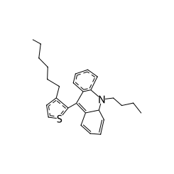 CCCCCCc1ccsc1C1=C2C=CC=CC2N(CCCC)c2ccccc21